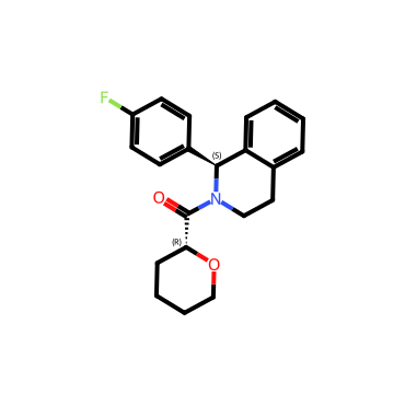 O=C([C@H]1CCCCO1)N1CCc2ccccc2[C@@H]1c1ccc(F)cc1